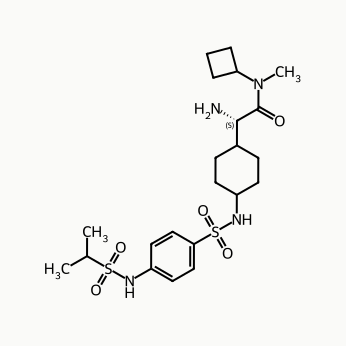 CC(C)S(=O)(=O)Nc1ccc(S(=O)(=O)NC2CCC([C@H](N)C(=O)N(C)C3CCC3)CC2)cc1